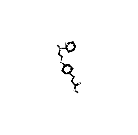 COC(=O)CCc1ccc(OCCN(C)c2ccccn2)cc1